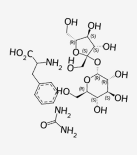 NC(Cc1ccccc1)C(=O)O.NC(N)=O.OC[C@H]1O[C@@](CO)(O[C@H]2O[C@H](CO)[C@@H](O)[C@H](O)[C@H]2O)[C@@H](O)[C@@H]1O